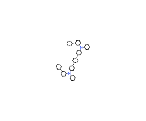 c1ccc(-c2cccc(N(c3ccccc3)c3ccc(-c4ccc(-c5ccc(N(c6ccccc6)c6cccc(-c7ccccc7)c6)cc5)cc4)cc3)c2)cc1